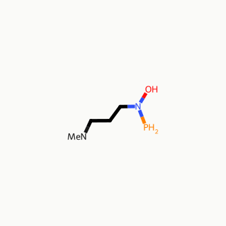 CNCCCN(O)P